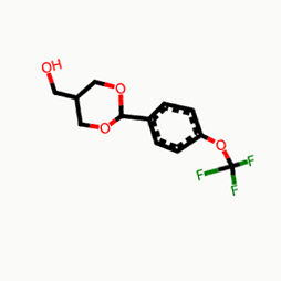 OCC1COC(c2ccc(OC(F)(F)F)cc2)OC1